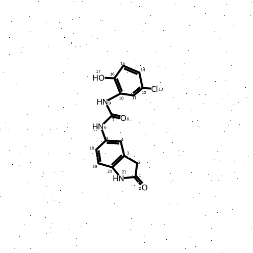 O=C1Cc2cc(NC(=O)Nc3cc(Cl)ccc3O)ccc2N1